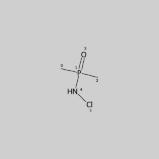 CP(C)(=O)NCl